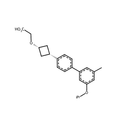 Cc1cc(OC(C)C)cc(-c2ccc([C@H]3C[C@@H](OCC(=O)O)C3)cc2)c1